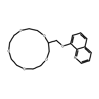 c1cnc2c(OCC3COCCOCCOCCOCCO3)cccc2c1